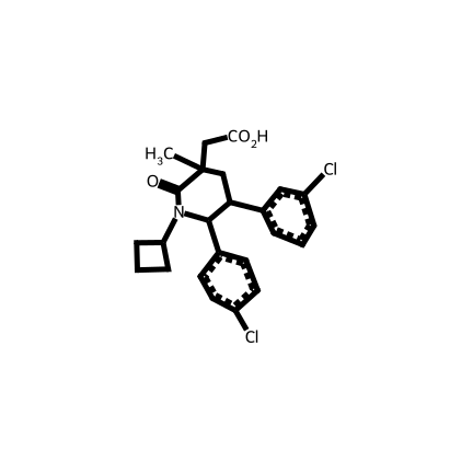 CC1(CC(=O)O)CC(c2cccc(Cl)c2)C(c2ccc(Cl)cc2)N(C2CCC2)C1=O